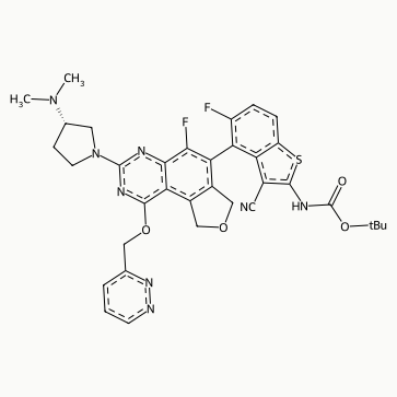 CN(C)[C@H]1CCN(c2nc(OCc3cccnn3)c3c4c(c(-c5c(F)ccc6sc(NC(=O)OC(C)(C)C)c(C#N)c56)c(F)c3n2)COC4)C1